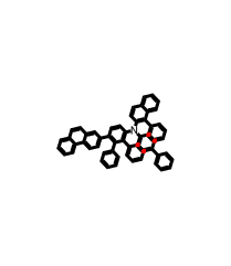 c1ccc(-c2ccc(N(c3ccc(-c4ccc5c(ccc6ccccc65)c4)c(-c4ccccc4)c3-c3ccccc3)c3ccc4ccccc4c3-c3ccccc3)cc2)cc1